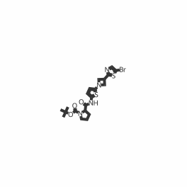 CC(C)(C)OC(=O)N1CCCC1C(=O)Nc1ccc(N2CC(c3ncc(Br)s3)C2)s1